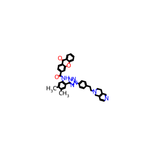 Cc1cc(NC(=O)c2ccc3c(=O)c4ccccc4oc3c2)c(-c2nnn(-c3ccc(CCN4CCc5cnccc5C4)cc3)n2)cc1C